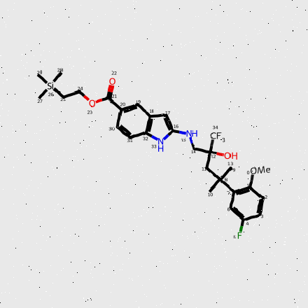 COc1ccc(F)cc1C(C)(C)CC(O)(CNc1cc2cc(C(=O)OCC[Si](C)(C)C)ccc2[nH]1)C(F)(F)F